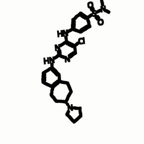 CN(C)S(=O)(=O)c1ccc(Nc2nc(Nc3ccc4c(c3)CC[C@@H](N3CCCC3)CC4)ncc2Cl)cc1